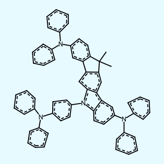 CC1(C)c2ccc(N(c3ccccc3)c3ccccc3)cc2-c2cc3c(cc21)c1cc(N(c2ccccc2)c2ccccc2)ccc1n3-c1ccc(N(c2ccccc2)c2ccccc2)cc1